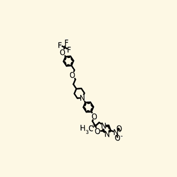 C[C@]1(COc2ccc(N3CCC(CCOCc4ccc(OC(F)(F)F)cc4)CC3)cc2)Cn2cc([N+](=O)[O-])nc2O1